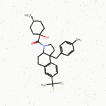 Cc1ccc(CC23CCN(C(=O)[C@]4(O)CC[C@@H](C(=O)O)CC4)C2CCc2cc(C(C)(F)C(F)(F)F)ccc23)cc1